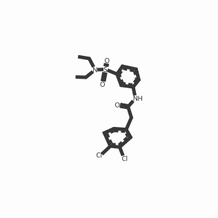 CCN(CC)S(=O)(=O)c1cccc(NC(=O)Cc2ccc(Cl)c(Cl)c2)c1